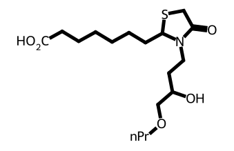 CCCOCC(O)CCN1C(=O)CSC1CCCCCCC(=O)O